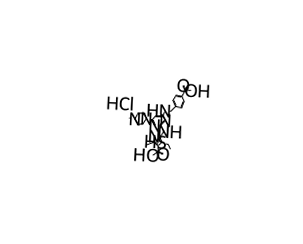 CC[SH]1C(Nc2nc(NCc3ccc(C(=O)O)cc3)cc(N3CCN(C)CC3)n2)=NC(C)=C1C(=O)O.Cl